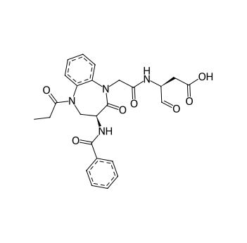 CCC(=O)N1C[C@H](NC(=O)c2ccccc2)C(=O)N(CC(=O)N[C@H](C=O)CC(=O)O)c2ccccc21